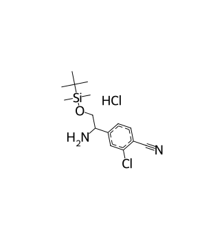 CC(C)(C)[Si](C)(C)OCC(N)c1ccc(C#N)c(Cl)c1.Cl